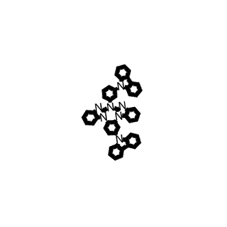 c1cc(-n2c3ccccc3c3ccccc32)cc(-n2c3nc4ccccc4n3c3ccc(-n4c5ccccc5c5ccccc54)cc3n3c4ccccc4nc23)c1